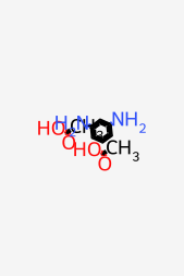 CC(=O)O.CC(=O)O.Nc1cccc(N)c1